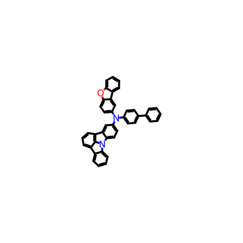 c1ccc(-c2ccc(N(c3ccc4oc5ccccc5c4c3)c3ccc4c(c3)c3cccc5c6ccccc6n4c53)cc2)cc1